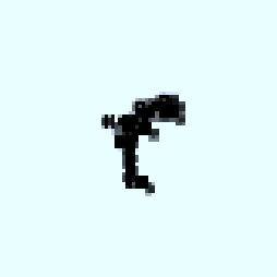 [CH2]C([CH2])(COC(=O)CCCCCCC)COC(=O)CCN(C)C